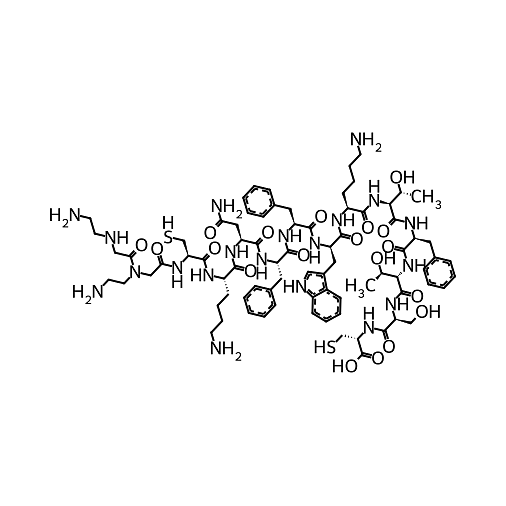 C[C@@H](O)[C@H](NC(=O)[C@H](Cc1ccccc1)NC(=O)[C@@H](NC(=O)[C@H](CCCCN)NC(=O)[C@@H](Cc1c[nH]c2ccccc12)NC(=O)[C@H](Cc1ccccc1)NC(=O)[C@H](Cc1ccccc1)NC(=O)[C@H](CC(N)=O)NC(=O)[C@H](CCCCN)NC(=O)[C@H](CS)NC(=O)CN(CCN)C(=O)CNCCN)[C@@H](C)O)C(=O)N[C@@H](CO)C(=O)N[C@@H](CS)C(=O)O